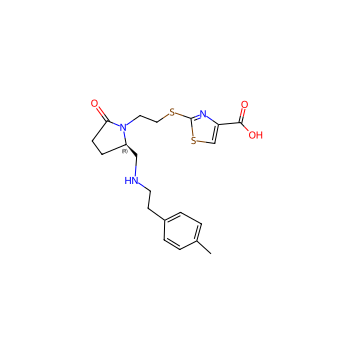 Cc1ccc(CCNC[C@H]2CCC(=O)N2CCSc2nc(C(=O)O)cs2)cc1